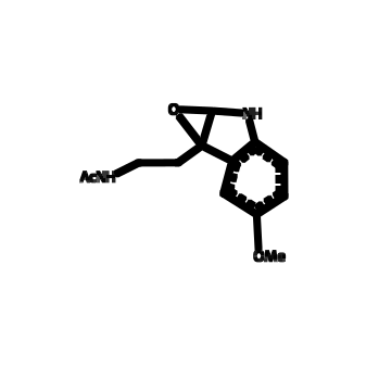 COc1ccc2c(c1)C1(CCNC(C)=O)OC1N2